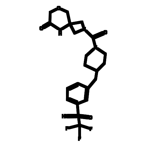 N=S(=O)(c1cccc(CC2CCN(C(=O)N3CC4(COCC(=O)N4)C3)CC2)c1)C(F)(F)F